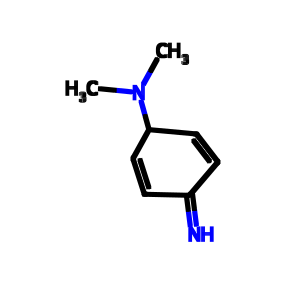 CN(C)C1C=CC(=N)C=C1